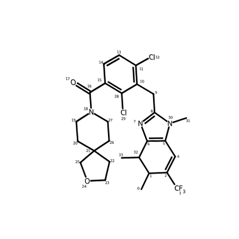 CC1C(C(F)(F)F)=Cc2c(nc(Cc3c(Cl)ccc(C(=O)N4CCC5(CCOC5)CC4)c3Cl)n2C)C1C